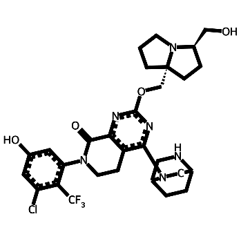 O=C1c2nc(OC[C@]34CCCN3[C@@H](CO)CC4)nc(N3CC4CCC3CN4)c2CCN1c1cc(O)cc(Cl)c1C(F)(F)F